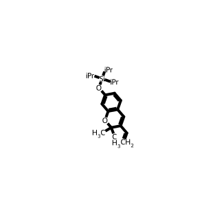 C=CC1=Cc2ccc(O[Si](C(C)C)(C(C)C)C(C)C)cc2OC1(C)C